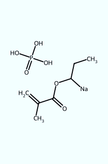 C=C(C)C(=O)O[CH]([Na])CC.O=P(O)(O)O